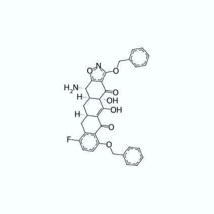 N[C@@H]1c2onc(OCc3ccccc3)c2C(=O)[C@@]2(O)C(O)=C3C(=O)c4c(OCc5ccccc5)ccc(F)c4C[C@H]3C[C@@H]12